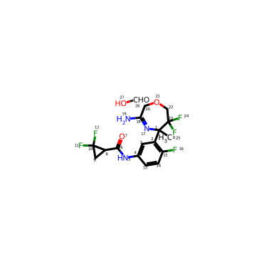 CC1(c2cc(NC(=O)C3CC3(F)F)ccc2F)N=C(N)COCC1(F)F.O=CO